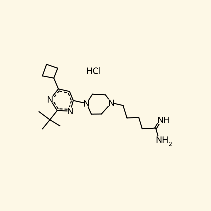 CC(C)(C)c1nc(C2CCC2)cc(N2CCN(CCCCC(=N)N)CC2)n1.Cl